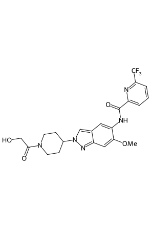 COc1cc2nn(C3CCN(C(=O)CO)CC3)cc2cc1NC(=O)c1cccc(C(F)(F)F)n1